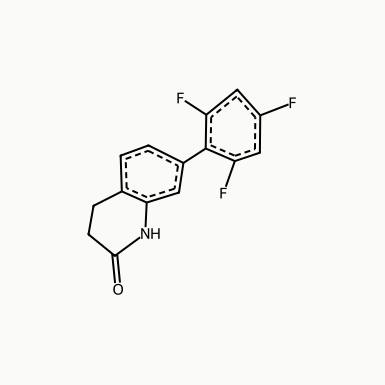 O=C1CCc2ccc(-c3c(F)cc(F)cc3F)cc2N1